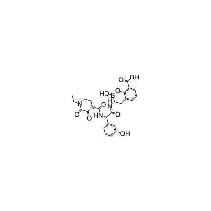 CCN1CCN(C(=O)NC(C(=O)N[C@H]2Cc3cccc(C(=O)O)c3OB2O)c2cccc(O)c2)C(=O)C1=O